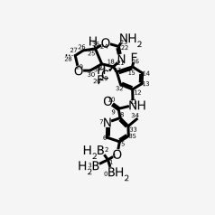 BC(B)(B)Oc1cnc(C(=O)Nc2ccc(F)c([C@@]3(CF)N=C(N)O[C@@H]4C[C@@H](C)OC[C@@H]43)c2)c(C)c1